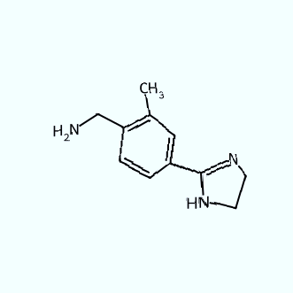 Cc1cc(C2=NCCN2)ccc1CN